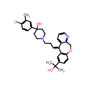 Cc1cc(C2(O)CCN(CC/C=C3/c4cc(C(C)(C)O)ccc4OCc4ncccc43)CC2)ccc1Cl